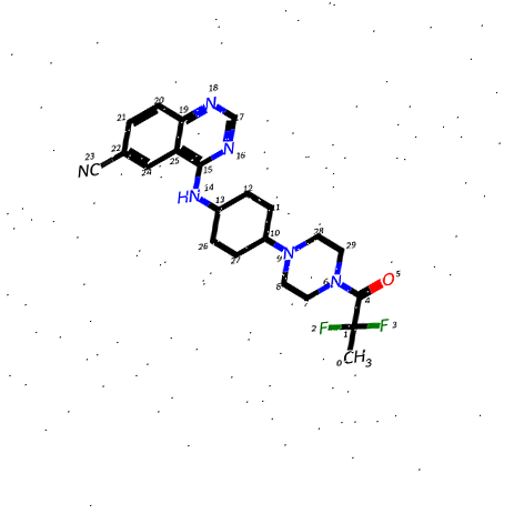 CC(F)(F)C(=O)N1CCN(C2CCC(Nc3ncnc4ccc(C#N)cc34)CC2)CC1